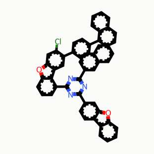 Clc1cc2oc3cccc(-c4nc(-c5ccc6ccccc6c5)nc(-c5ccc6c(c5)oc5ccccc56)n4)c3c2cc1-c1ccc(-c2cccc3ccccc23)cc1